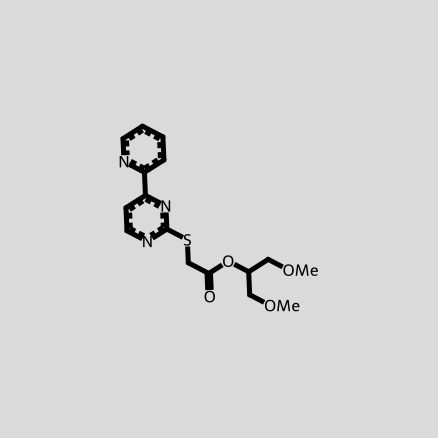 COCC(COC)OC(=O)CSc1nccc(-c2ccccn2)n1